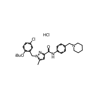 Cc1cc(C(=O)Nc2ccc(CN3CCCCC3)cc2)nn1Cc1cc(Cl)ccc1OCC(C)C.Cl